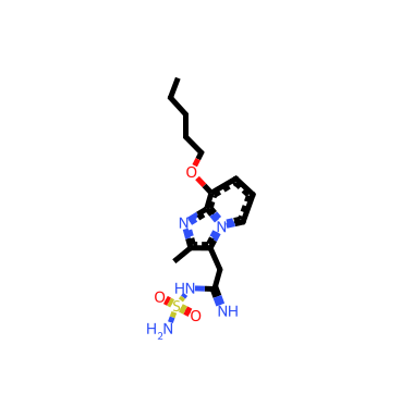 CCCCCOc1cccn2c(CC(=N)NS(N)(=O)=O)c(C)nc12